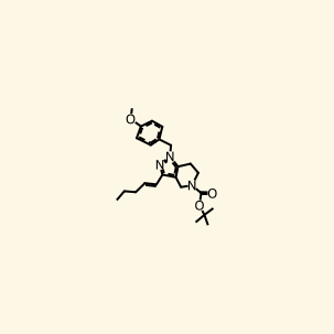 CCC/C=C/c1nn(Cc2ccc(OC)cc2)c2c1CN(C(=O)OC(C)(C)C)CC2